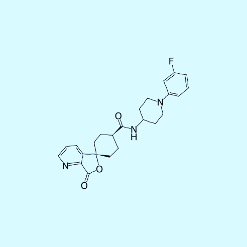 O=C1O[C@]2(CC[C@H](C(=O)NC3CCN(c4cccc(F)c4)CC3)CC2)c2cccnc21